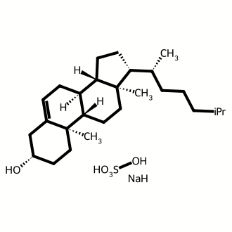 CC(C)CCC[C@@H](C)[C@H]1CC[C@H]2[C@@H]3CC=C4C[C@@H](O)CC[C@]4(C)[C@H]3CC[C@]12C.O=S(=O)(O)O.[NaH]